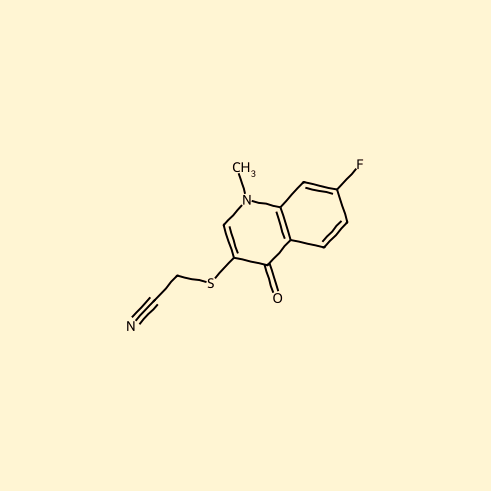 Cn1cc(SCC#N)c(=O)c2ccc(F)cc21